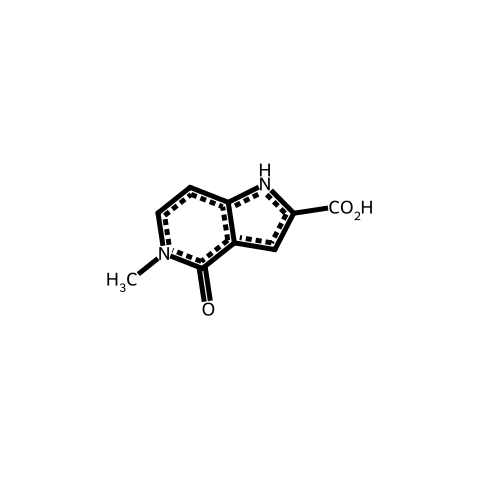 Cn1ccc2[nH]c(C(=O)O)cc2c1=O